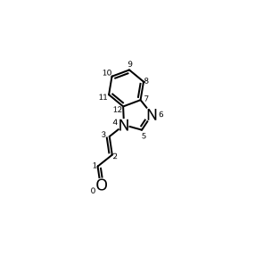 O=CC=Cn1cnc2ccccc21